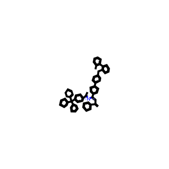 C=C(/C=C(\N=C(/C)c1ccc(C(C2=CC=CCC2)(c2ccccc2)c2ccccc2)cc1)c1ccc(-c2ccc(Cc3ccccc3-c3ccccc3C)cc2)cc1)c1ccccc1